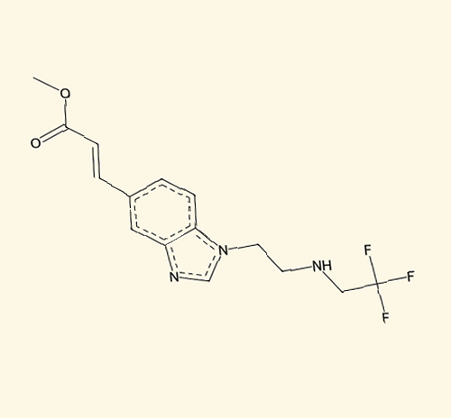 COC(=O)C=Cc1ccc2c(c1)ncn2CCNCC(F)(F)F